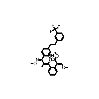 CO/C=C(/C(=O)OC)c1ccccc1/C(ON)=C(C)/C(=N\OC)c1ccc(CCc2cccc(C(F)(F)F)c2)cc1